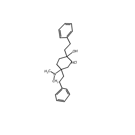 CN(C)C1(CCc2ccccc2)CCC(O)(CCc2ccccc2)CC1.Cl